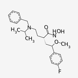 COC(C[C@H](CCN(Cc1ccccc1)C(C)C)C(=O)NO)c1ccc(F)cc1